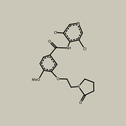 COc1ccc(C(=O)Nc2c(Cl)cncc2Cl)cc1OCCN1CCCC1=O